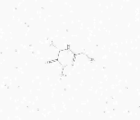 CCC[C@H](NC(=O)OC(C)(C)C)C(=O)OC(C)(C)C